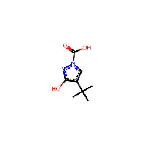 CC(C)(C)c1cn(C(=O)O)nc1O